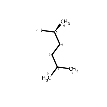 CC(C)CC[C@H](C)I